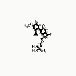 COc1cc(C2CC2)c(-c2cc3c(c[n+]2[O-])c(I)nn3COCC[Si](C)(C)C)cc1F